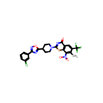 Cc1c(C(F)(F)F)cc2c(=O)nc(N3CCC(c4nc(-c5cccc(Cl)c5)no4)CC3)sc2c1[N+](=O)[O-]